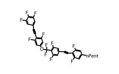 CCCCCc1cc(F)c(C#Cc2cc(F)c(C(F)(F)Oc3cc(F)c(C#Cc4cc(F)c(F)c(F)c4)c(F)c3)c(F)c2)c(F)c1